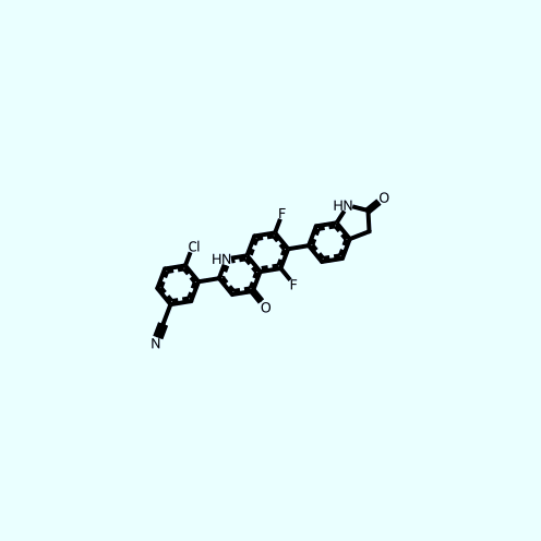 N#Cc1ccc(Cl)c(-c2cc(=O)c3c(F)c(-c4ccc5c(c4)NC(=O)C5)c(F)cc3[nH]2)c1